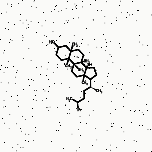 BC12CC[C@@]3(C)CC(O)CCC3(C)[C@@]1(B)CCC1(C)C([C@H](C)CC[C@H](C)C(C)C)CC[C@]12S